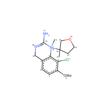 COc1ccc2c(c1Cl)[N+](C)(C1(C)CCOC1)C(N)=NC2